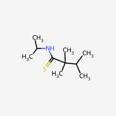 CC(C)NC(=S)C(C)(C)C(C)C